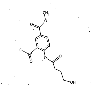 COC(=O)c1ccc(OC(=O)CCCO)c([N+](=O)[O-])c1